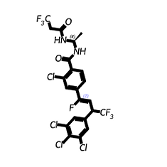 C[C@H](NC(=O)CC(F)(F)F)NC(=O)c1ccc(/C(F)=C/C(c2cc(Cl)c(Cl)c(Cl)c2)C(F)(F)F)cc1Cl